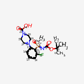 CC(C)(C)OC(=O)N=S(C)(=O)c1c(F)cccc1N1CCN(C(=O)O)CC1